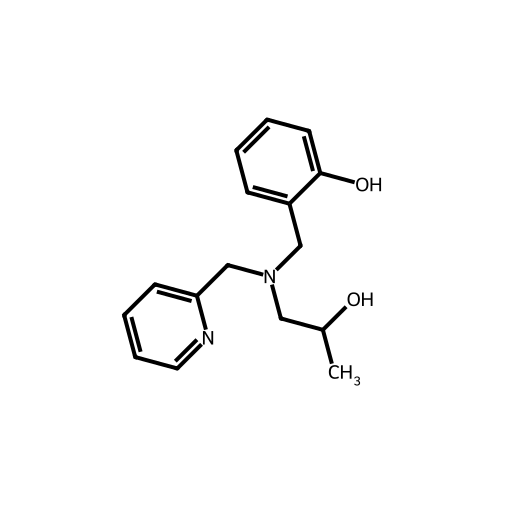 CC(O)CN(Cc1ccccn1)Cc1ccccc1O